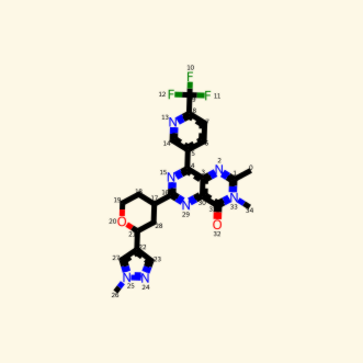 Cc1nc2c(-c3ccc(C(F)(F)F)nc3)nc(C3CCOC(c4cnn(C)c4)C3)nc2c(=O)n1C